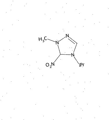 CC(C)N1C=NN(C)C1[N+](=O)[O-]